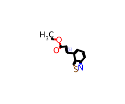 CCOC(=O)/C=C/c1cccc2nscc12